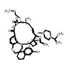 CCO[C@]1(CN2CCN(C(C)C)CC2)/C=C/C[C@H](C)[C@@H](CCOC)S(=O)(=O)NC(=O)c2ccc3c(c2)N(C[C@@H]2CC[C@H]21)CC1(CCCc2cc(Cl)ccc21)CO3